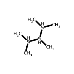 C[SiH](C)[SiH](C)[SiH](C)C